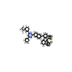 C[Si](C)(C)c1cccc(-c2cc(-c3ccccc3)nc(-c3ccc4cc(-c5cccc6c5-c5ccccc5C65c6ccccc6Sc6ccccc65)ccc4c3)n2)c1